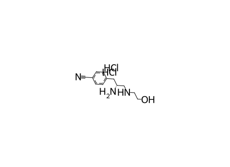 Cl.Cl.N#Cc1ccc(C[C@@H](N)CNCCO)cc1